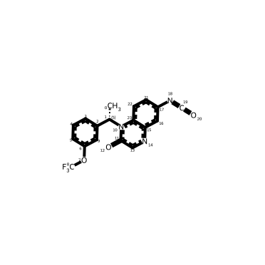 C[C@@H](c1cccc(OC(F)(F)F)c1)n1c(=O)cnc2cc(N=C=O)ccc21